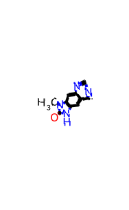 Cn1c(=O)[nH]c2cc3[c]ncnc3cc21